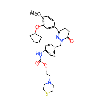 COc1ccc(C2=NN(Cc3ccc(NC(=O)OCCN4CCSCC4)cc3)C(=O)CC2)cc1OC1CCCC1